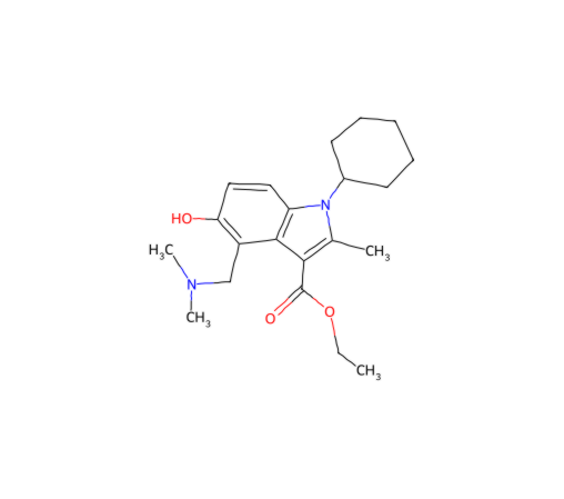 CCOC(=O)c1c(C)n(C2CCCCC2)c2ccc(O)c(CN(C)C)c12